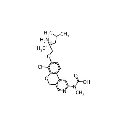 CC(C)C[C@](C)(N)COc1ccc2c(c1Cl)OCc1cnc(N(C)C(=O)O)cc1-2